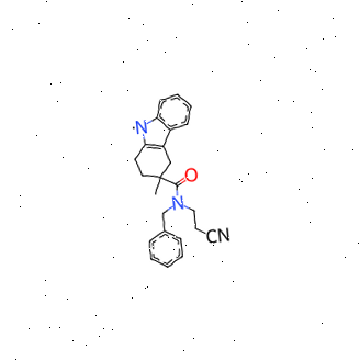 CC1(C(=O)N(CCC#N)Cc2ccccc2)CCC2=C(C1)c1ccccc1[N]2